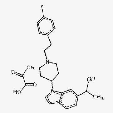 CC(O)c1ccc2ccn(C3CCN(CCc4ccc(F)cc4)CC3)c2c1.O=C(O)C(=O)O